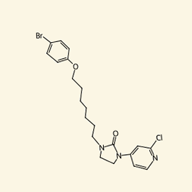 O=C1N(CCCCCCCOc2ccc(Br)cc2)CCN1c1ccnc(Cl)c1